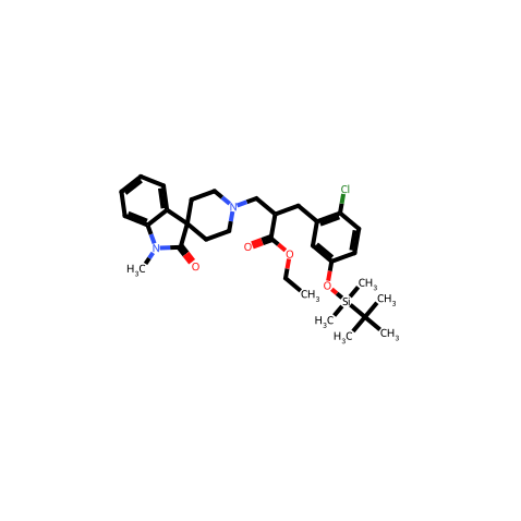 CCOC(=O)C(Cc1cc(O[Si](C)(C)C(C)(C)C)ccc1Cl)CN1CCC2(CC1)C(=O)N(C)c1ccccc12